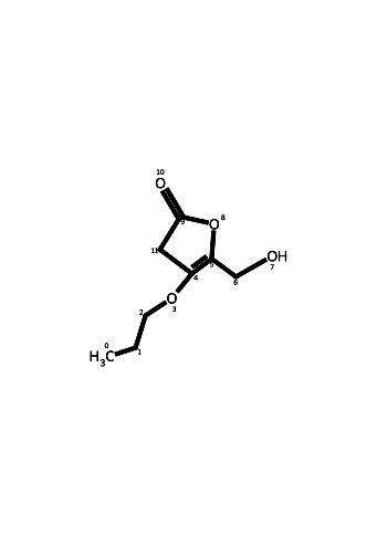 CCCOC1=C(CO)OC(=O)C1